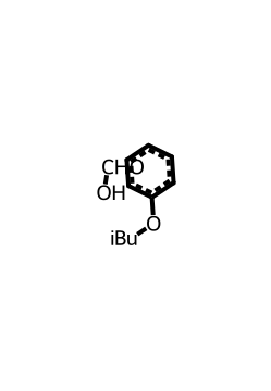 CCC(C)Oc1ccccc1.O=CO